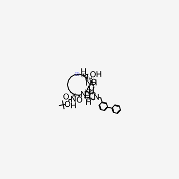 CC(C)(C)OC(=O)N[C@@H]1CCCCC/C=C\[C@@H]2C[C@@]2(C(=O)O)NC(=O)[C@@H]2[C@H]3CN(Cc4cccc(-c5ccccc5)c4)C[C@H]3CN2C1=O